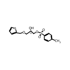 Cc1ccc(S(=O)(=O)OC[C@@H](O)COCc2cccs2)cc1